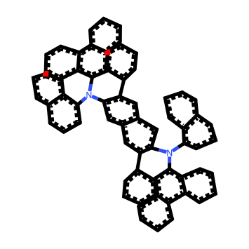 c1ccc(-c2cc3cc(N(c4cccc5ccccc45)c4cc5ccccc5c5ccccc45)c(-c4ccccc4)cc3cc2N(c2cccc3ccccc23)c2cc3ccccc3c3ccccc23)cc1